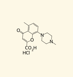 Cc1ccc(N2CCN(C)CC2)c2oc(C(=O)O)cc(=O)c12.Cl